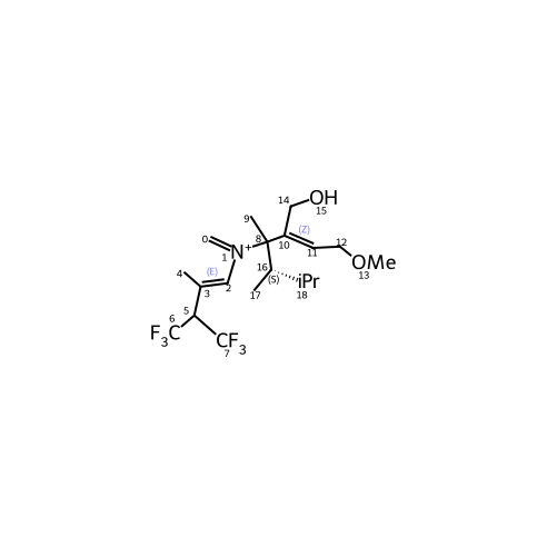 C=[N+](/C=C(\C)C(C(F)(F)F)C(F)(F)F)C(C)(/C(=C/COC)CO)[C@@H](C)C(C)C